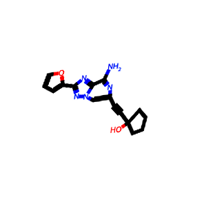 Nc1nc(C#CC2(O)CCCC2)cn2nc(-c3ccco3)nc12